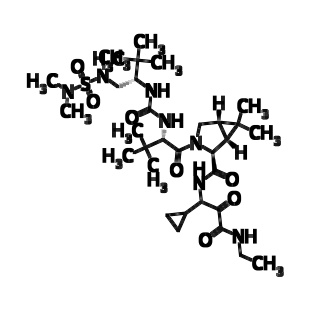 CCNC(=O)C(=O)C(NC(=O)[C@@H]1[C@@H]2[C@H](CN1C(=O)[C@@H](NC(=O)N[C@H](CN(C)S(=O)(=O)N(C)C)C(C)(C)C)C(C)(C)C)C2(C)C)C1CC1